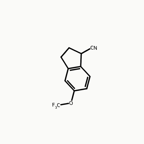 N#CC1CCc2cc(OC(F)(F)F)ccc21